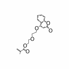 C=C(C)C(=O)OCCOCCOc1cc(=O)oc2ccccc12